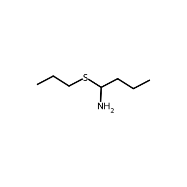 CCCSC(N)CCC